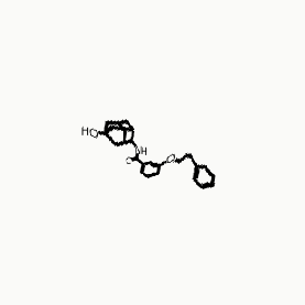 O=C(NC1C2CC3CC1CC(O)(C3)C2)c1cccc(OCCc2ccccc2)c1